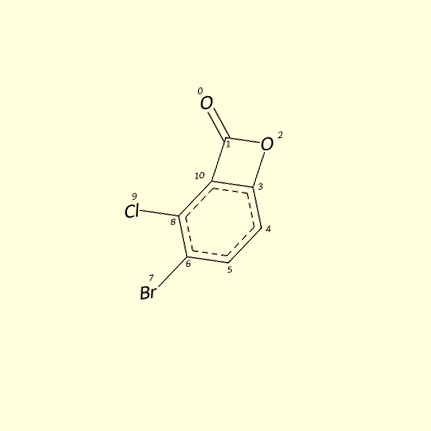 O=C1Oc2ccc(Br)c(Cl)c21